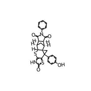 O=C1[C@@H]2[C@H]3C[C@@H]([C@@H]2C(=O)N1c1ccccc1)[C@]12CC1(c1ccc(O)cc1)c1sc(=O)[nH]c1S[C@H]32